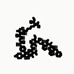 CCC(=O)N(CCCCCC(=O)NC(C(=O)NCC(=O)Nc1ccc(C(OC(=O)N(C)C(C(=O)NCC(=O)N(C)[C@@H]([C@@H](C)CC)[C@@H](CC(=O)N2CCC[C@H]2[C@H](OC)[C@@H](C)C(=O)N[C@@H](Cc2ccccc2)c2nccs2)OC)C(C)C)C(=O)N2CCN(C)CC2)cc1)C(C)C)C(C)=O